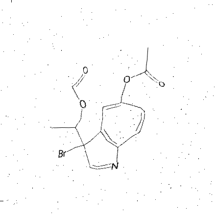 CC(=O)Oc1ccc2c(c1)C(Br)(C(C)OC=O)C=N2